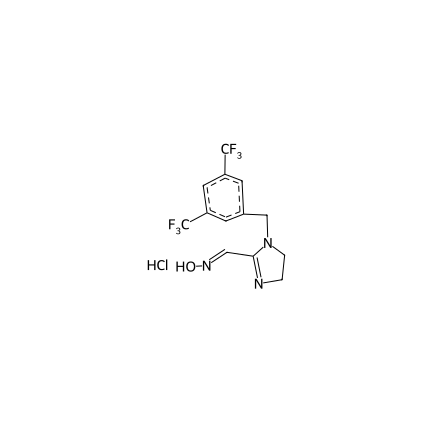 Cl.ON=CC1=NCCN1Cc1cc(C(F)(F)F)cc(C(F)(F)F)c1